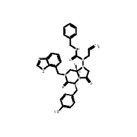 C=CCN(C(=O)NCc1ccccc1)N1CC(=O)N2[C@@H](Cc3ccc(O)cc3)C(=O)N(Cc3cccc4nc[nH]c34)C[C@@H]21